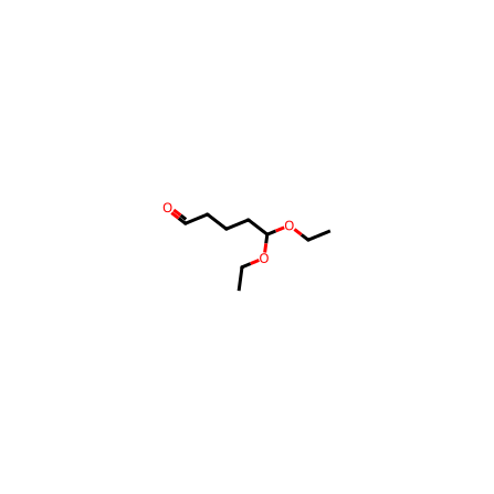 CCOC(CCCC=O)OCC